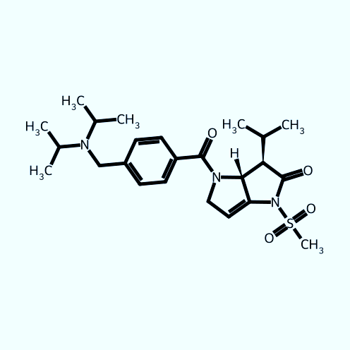 CC(C)[C@H]1C(=O)N(S(C)(=O)=O)C2=CCN(C(=O)c3ccc(CN(C(C)C)C(C)C)cc3)[C@@H]21